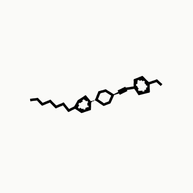 CCCCCCCc1ccc([C@H]2CC[C@H](C#Cc3ccc(CC)cc3)CC2)cc1